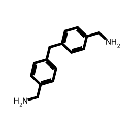 NCc1ccc(Cc2ccc(CN)cc2)cc1